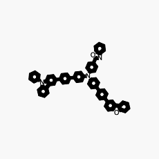 c1ccc(-n2c3ccccc3c3cc(-c4ccc(-c5ccc(N(c6ccc(-c7ccc(-c8ccc9oc%10ccccc%10c9c8)cc7)cc6)c6ccc(-c7nc8ccccc8o7)cc6)cc5)cc4)ccc32)cc1